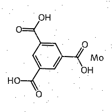 O=C(O)c1cc(C(=O)O)cc(C(=O)O)c1.[Mo]